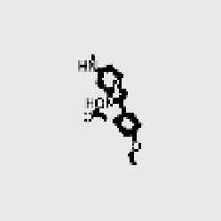 CC(=O)O.CCOc1ccc(-c2cn3ccc(NC)cc3n2)cc1